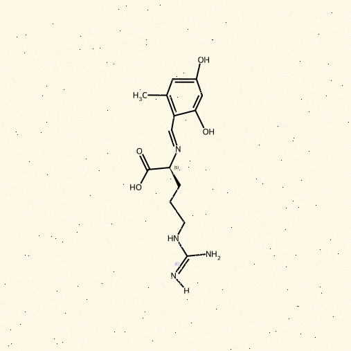 [H]/N=C(\N)NCCC[C@H](N=Cc1c(C)cc(O)cc1O)C(=O)O